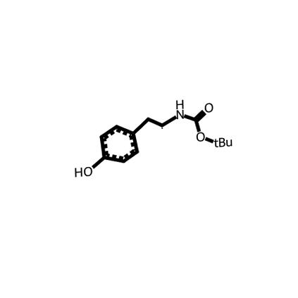 CC(C)(C)OC(=O)N[CH]Cc1ccc(O)cc1